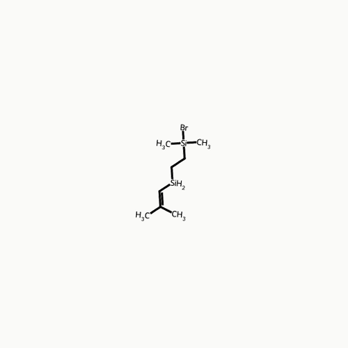 CC(C)=C[SiH2]CC[Si](C)(C)Br